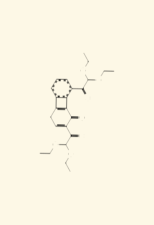 CCOC(OCC)C(=O)C1=CCC2=C(C1=O)c1c(C(=O)C(OCC)OCC)cccc12